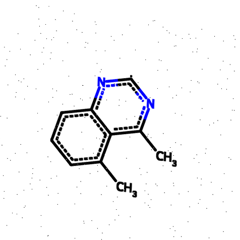 Cc1cccc2n[c]nc(C)c12